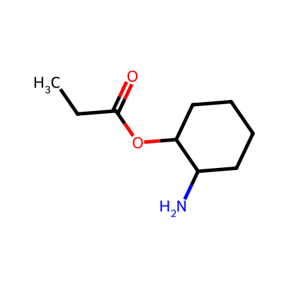 CCC(=O)OC1CCCCC1N